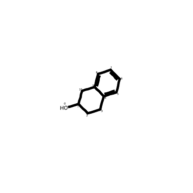 OC1[CH]Cc2ccccc2C1